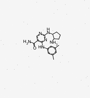 Cc1cc(C)cc(Nc2nc(NC3CCCC3N)ncc2C(N)=O)c1